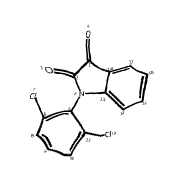 O=C1C(=O)N(c2c(Cl)cccc2Cl)c2ccccc21